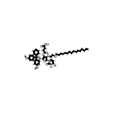 CCCCCCCCCCCCCCCCOCCOC1C(OC(=O)CCC(=O)O)[C@@H](COC(c2ccccc2)(c2ccc(OC)cc2)c2ccc(OC)cc2)O[C@H]1n1ccc(=O)[nH]c1=O